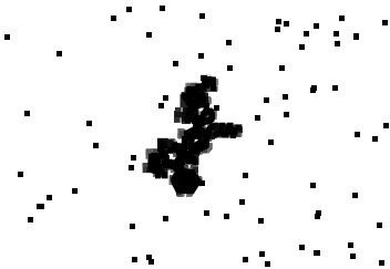 CCc1c(C(c2ccccc2)c2nccs2)nc2cc(OC)c(C(=O)Nc3ncn(CC)n3)cn12